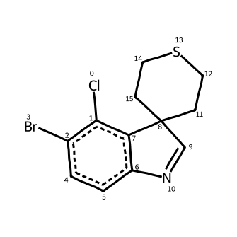 Clc1c(Br)ccc2c1C1(C=N2)CCSCC1